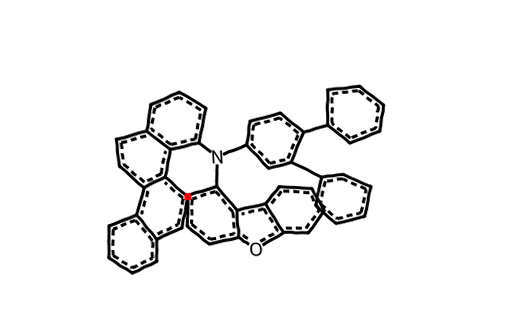 c1ccc(-c2ccc(N(c3cccc4ccc5c6ccccc6ccc5c34)c3cccc4oc5ccccc5c34)cc2-c2ccccc2)cc1